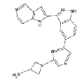 NC1CN(c2cncc(-c3ccc4[nH]nc(-c5cc6cnccc6[nH]5)c4c3)n2)C1